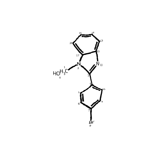 Cl.Cn1c(-c2ccc(Br)cc2)nc2ccccc21